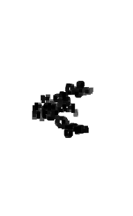 CC(C)(C)OC(=O)N1CC=C(B2OC(C)(C)C(C)(CCC3(C)OB(C4=CCCN(C(=O)OC(C)(C)C)C4)OC3(C)C)O2)CC1